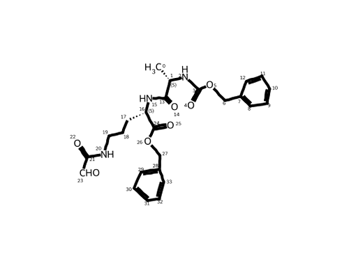 C[C@H](NC(=O)OCc1ccccc1)C(=O)N[C@@H](CCCNC(=O)C=O)C(=O)OCc1ccccc1